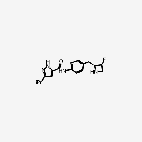 CC(C)c1cc(C(=O)Nc2ccc(C[C@@H]3NC[C@@H]3F)cc2)[nH]n1